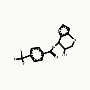 O=C(NC1c2sccc2OCC1O)c1ccc(C(F)(F)F)cc1